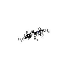 CCOC(=O)/C(C)=C/C1C(C(=O)OCc2c(F)c(F)c(COC)c(F)c2F)C1(C)C